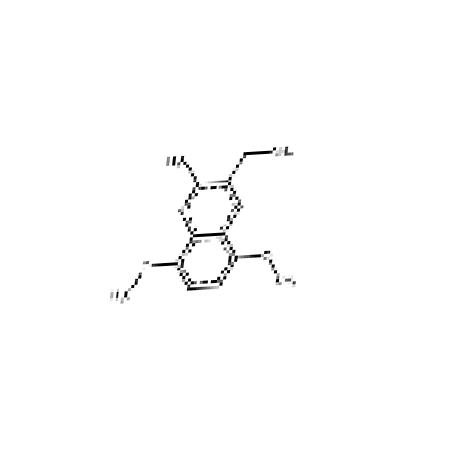 COc1ccc(OC)c2nc(C)c(CN)cc12